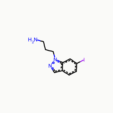 NCCCn1ncc2ccc(I)cc21